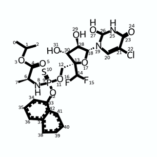 CC(C)OC(=O)[C@H](C)NP(=S)(OC[C@@]1(C(F)F)O[C@@H](N2C=C(Cl)C(=O)NC2O)[C@H](O)[C@H]1O)Oc1cccc2ccccc12